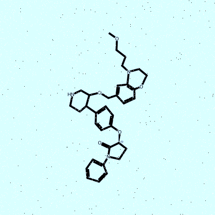 COCCCN1CCOc2ccc(COC3CNCCC3c3ccc(O[C@H]4CCN(c5ccccc5)C4=O)cc3)cc21